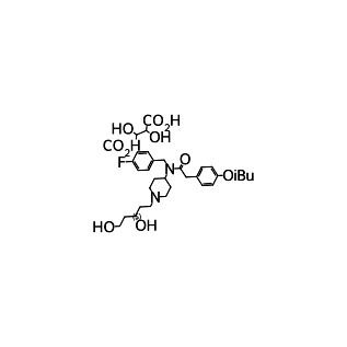 CC(C)COc1ccc(CC(=O)N(Cc2ccc(F)cc2)C2CCN(CC[C@H](O)CCO)CC2)cc1.O=C(O)C(O)C(O)C(=O)O